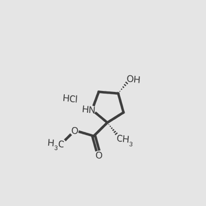 COC(=O)[C@]1(C)C[C@@H](O)CN1.Cl